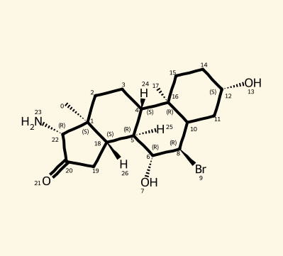 C[C@]12CC[C@H]3[C@@H]([C@@H](O)[C@H](Br)C4C[C@@H](O)CC[C@@]43C)[C@@H]1CC(=O)[C@@H]2N